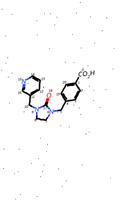 O=C(O)c1ccc(CN2CCN(Cc3cccnc3)C2=O)cc1